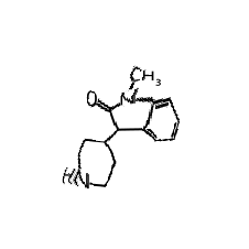 CN1C(=O)C(C2CCNCC2)c2ccccc21